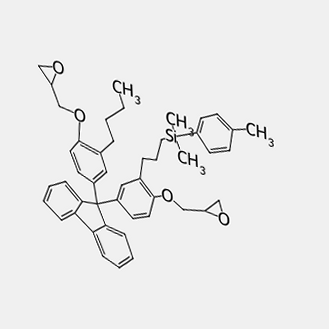 CCCCc1cc(C2(c3ccc(OCC4CO4)c(CCC[Si](C)(C)c4ccc(C)cc4)c3)c3ccccc3-c3ccccc32)ccc1OCC1CO1